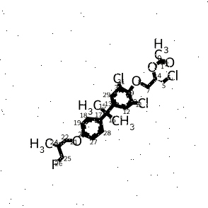 CC(=O)O[C@H](CCl)COc1c(Cl)cc(C(C)(C)c2ccc(OC[C@H](C)CF)cc2)cc1Cl